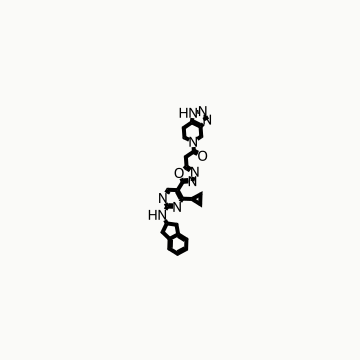 O=C(Cc1nnc(-c2cnc(NC3Cc4ccccc4C3)nc2C2CC2)o1)N1CCc2[nH]nnc2C1